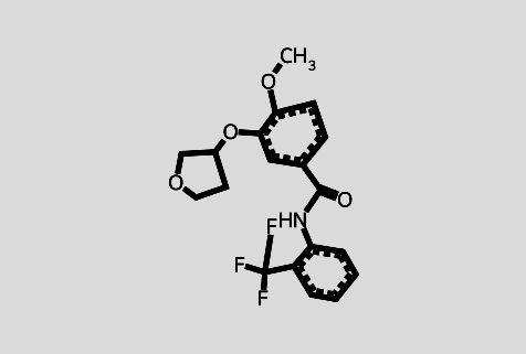 COc1ccc(C(=O)Nc2ccccc2C(F)(F)F)cc1OC1CCOC1